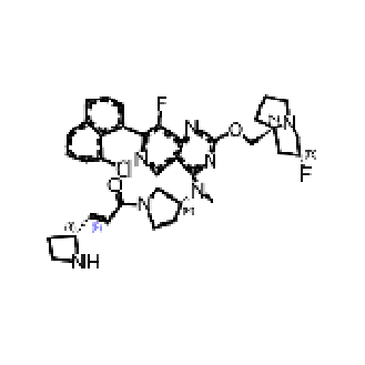 CN(c1nc(OC[C@@]23CCCN2C[C@H](F)C3)nc2c(F)c(-c3cccc4cccc(Cl)c34)ncc12)[C@@H]1CCN(C(=O)/C=C/[C@H]2CCN2)C1